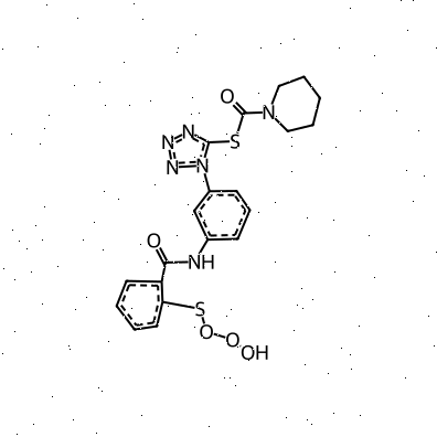 O=C(Nc1cccc(-n2nnnc2SC(=O)N2CCCCC2)c1)c1ccccc1SOOO